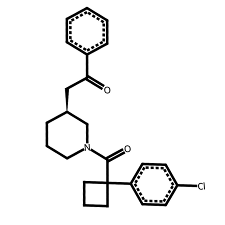 O=C(C[C@@H]1CCCN(C(=O)C2(c3ccc(Cl)cc3)CCC2)C1)c1ccccc1